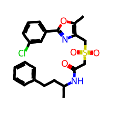 Cc1oc(-c2cccc(Cl)c2)nc1CS(=O)(=O)CC(=O)NC(C)CCc1ccccc1